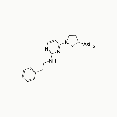 [AsH2][C@@H]1CCN(c2ccnc(NCCc3ccccc3)n2)C1